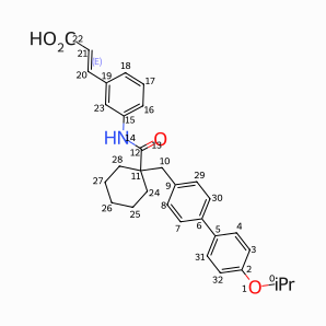 CC(C)Oc1ccc(-c2ccc(CC3(C(=O)Nc4cccc(/C=C/C(=O)O)c4)CCCCC3)cc2)cc1